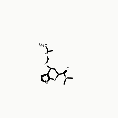 COC(C)OCOC1CC(C(=O)N(C)C)Sc2sccc21